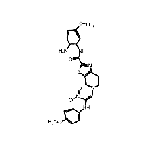 COc1ccc(NC(=CN2CCc3nc(C(=O)Nc4cc(OC)ccc4N)sc3C2)[N+](=O)[O-])cc1